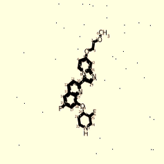 COCCOc1ccn2c(-c3ccc4cc(F)cc(O[C@H]5CCNCC5F)c4n3)cnc2c1